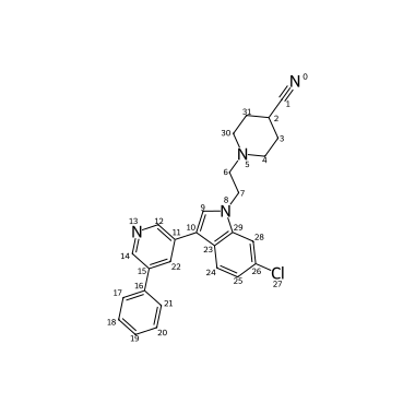 N#CC1CCN(CCn2cc(-c3cncc(-c4ccccc4)c3)c3ccc(Cl)cc32)CC1